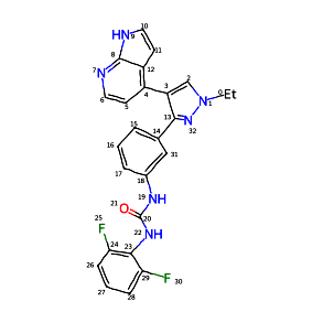 CCn1cc(-c2ccnc3[nH]ccc23)c(-c2cccc(NC(=O)Nc3c(F)cccc3F)c2)n1